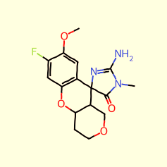 COc1cc2c(cc1F)OC1CCOCC1C21N=C(N)N(C)C1=O